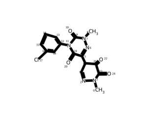 CN1N=CC(c2nn(C)c(=O)n(-c3cccc(Cl)c3)c2=O)C(=O)C1=O